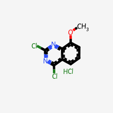 COc1cccc2c(Cl)nc(Cl)nc12.Cl